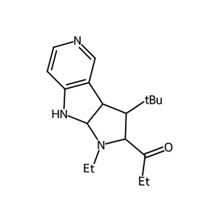 CCC(=O)C1C(C(C)(C)C)C2c3cnccc3NC2N1CC